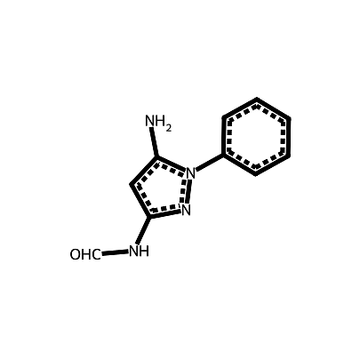 Nc1cc(NC=O)nn1-c1ccccc1